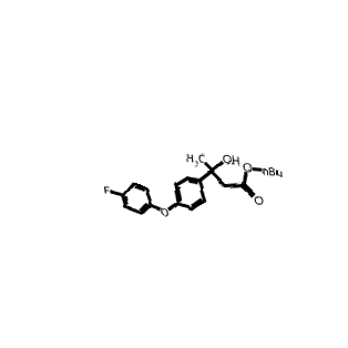 CCCCOC(=O)CC(C)(O)c1ccc(Oc2ccc(F)cc2)cc1